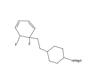 CCCCCCCC1CCC(CCC2(F)C=CC=CC2F)CC1